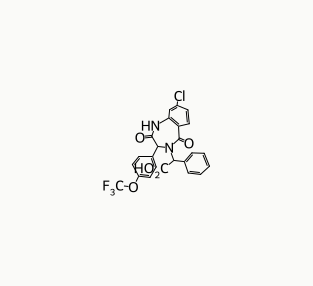 O=C(O)C(c1ccccc1)N1C(=O)c2ccc(Cl)cc2NC(=O)C1c1ccc(OC(F)(F)F)cc1